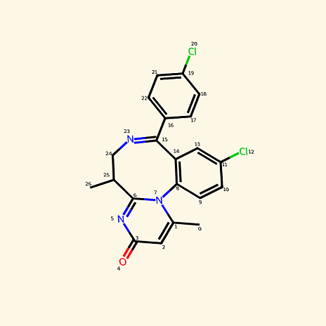 Cc1cc(=O)nc2n1-c1ccc(Cl)cc1/C(c1ccc(Cl)cc1)=N\CC2C